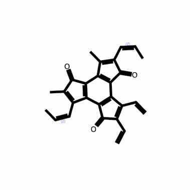 C=Cc1c(C=C)c2c3c(=O)c(/C=C\C)c(C)c3c3c(=O)c(C)c(/C=C\C)c3c2c1=O